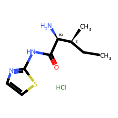 CC[C@H](C)[C@H](N)C(=O)Nc1nccs1.Cl